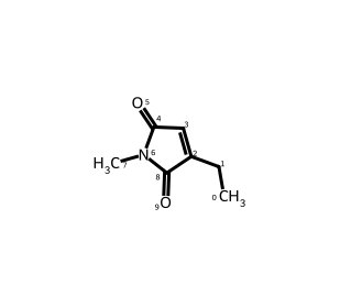 CCC1=CC(=O)N(C)C1=O